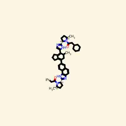 CC(C)CC(=O)N1[C@@H](C)CC[C@H]1c1nc2ccc3cc(C4=C5CCCC5=C(c5cnc([C@@H]6CC[C@H](C)N6C(=O)CC6CCCCC6)[nH]5)C(C)C4)ccc3c2[nH]1